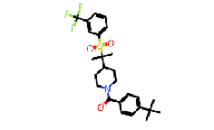 CC(C)(C)c1ccc(C(=O)N2CCC(C(C)(C)S(=O)(=O)c3cccc(C(F)(F)F)c3)CC2)cc1